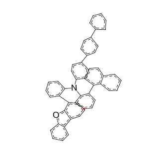 c1ccc(-c2ccc(-c3ccc(N(c4ccccc4-c4cccc5ccccc45)c4ccccc4-c4cccc5c4oc4ccccc45)cc3)cc2)cc1